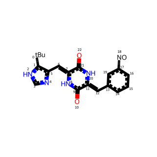 CC(C)(C)c1[nH]cnc1/C=c1\[nH]c(=O)/c(=C/c2cccc(N=O)c2)[nH]c1=O